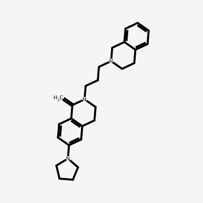 C=C1c2ccc(N3CCCC3)cc2CCN1CCCN1CCc2ccccc2C1